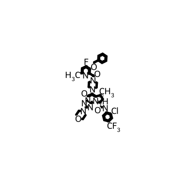 Cc1cc(F)c(OCc2ccccc2)c(C(=O)N2CCN(c3c4n(c5nc(N6CCOCC6)nn5c3=O)[C@@H](C(=O)Nc3ccc(C(F)(F)F)cc3Cl)C[C@H]4C)CC2)n1